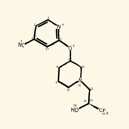 N#Cc1ccnc(OC2CCCN(C[C@H](O)C(F)(F)F)C2)c1